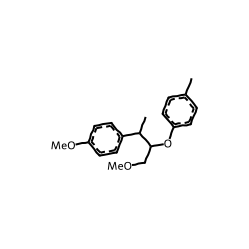 COCC(Oc1ccc(C)cc1)C(C)c1ccc(OC)cc1